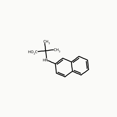 CC(C)(Nc1ccc2ccccc2c1)C(=O)O